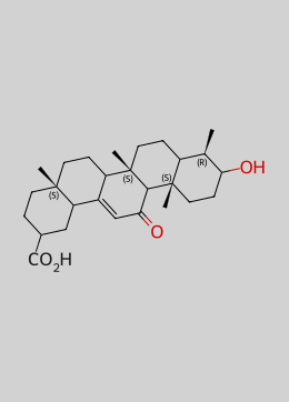 C[C@H]1C(O)CC[C@@]2(C)C1CC[C@@]1(C)C3CC[C@@]4(C)CCC(C(=O)O)CC4C3=CC(=O)C12